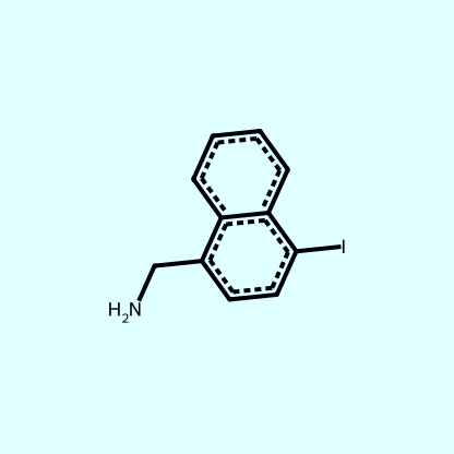 NCc1ccc(I)c2ccccc12